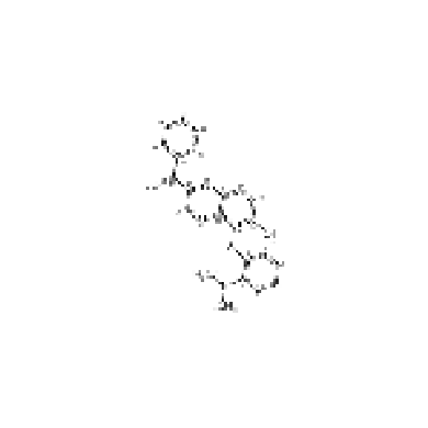 CN(C)c1ccccc1Cc1c(O)ccc2cc(C(=O)c3ccccc3)ccc12